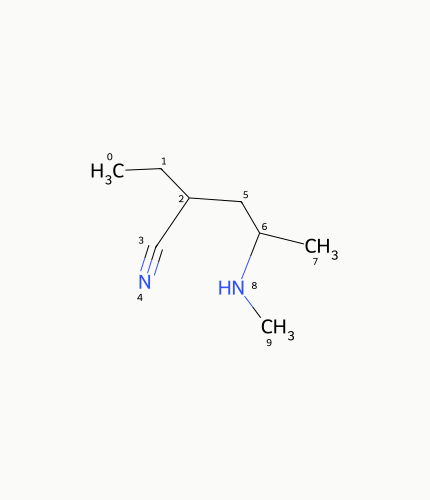 CCC(C#N)CC(C)NC